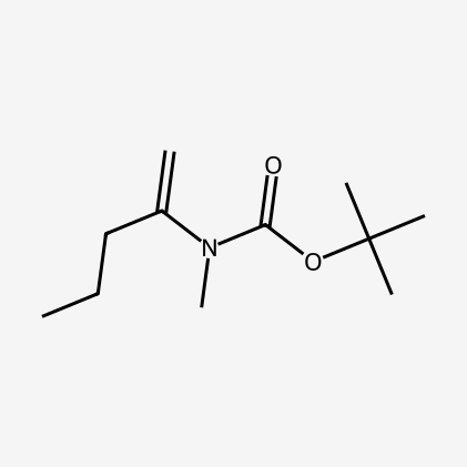 C=C(CCC)N(C)C(=O)OC(C)(C)C